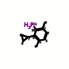 Cc1ccc(C)c(C2CC2)c1P